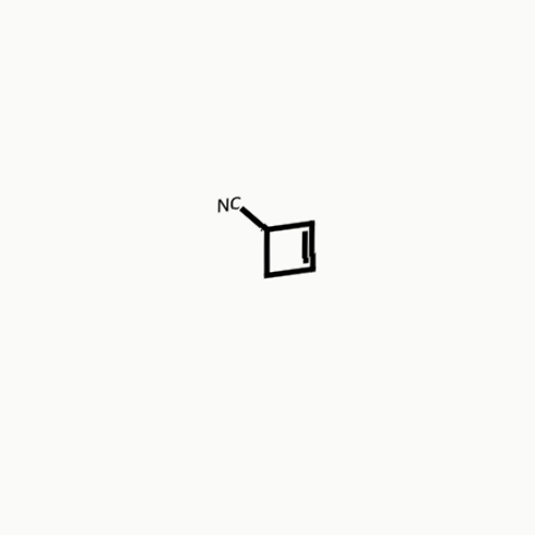 N#C[C]1C=CC1